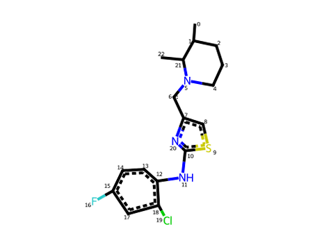 CC1CCCN([C]c2csc(Nc3ccc(F)cc3Cl)n2)C1C